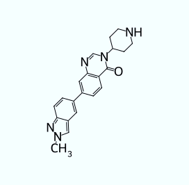 Cn1cc2cc(-c3ccc4c(=O)n(C5CCNCC5)cnc4c3)ccc2n1